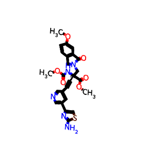 COC(=O)N[C@](C#Cc1cncc(-c2csc(N)n2)c1)(CN1Cc2ccc(OC)cc2C1=O)C(=O)OC